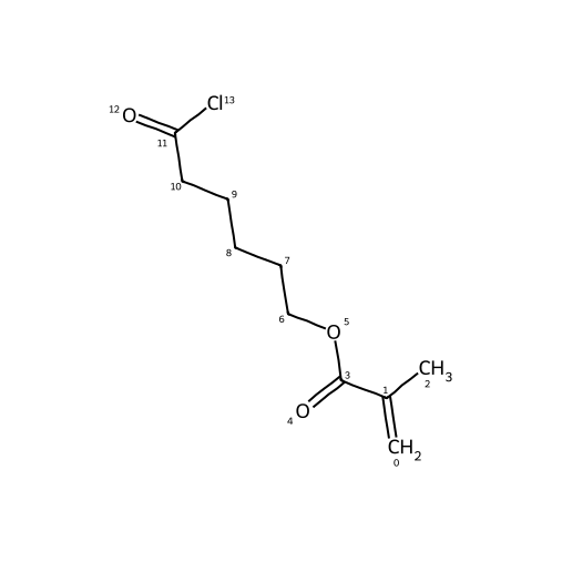 C=C(C)C(=O)OCCCCCC(=O)Cl